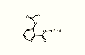 CCCCCOC(=O)c1ccccc1OC(=O)CC